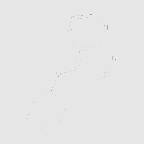 c1cnc2nccc(OC3CCCCC3)c2c1